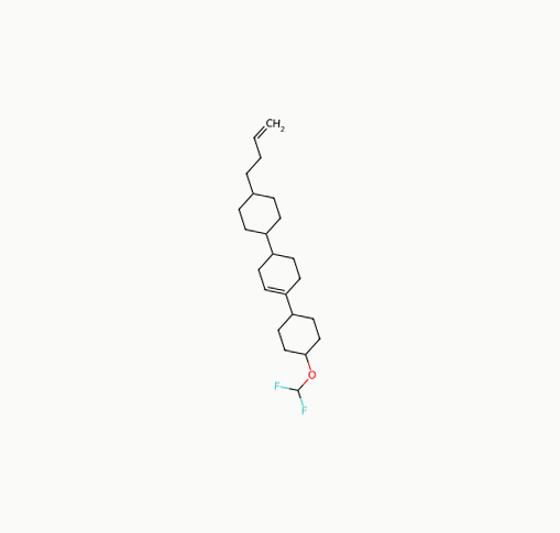 C=CCCC1CCC(C2CC=C(C3CCC(OC(F)F)CC3)CC2)CC1